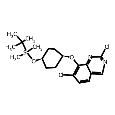 CC(C)(C)[Si](C)(C)O[C@H]1CC[C@@H](Oc2c(Cl)ccc3cnc(Cl)nc23)CC1